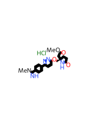 CNC(=N)c1ccc(-c2ccc(OC[C@@]3(CC(=O)OC)CCC(=O)N3)nn2)cc1.Cl